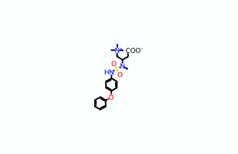 CN(C(CC(=O)[O-])C[N+](C)(C)C)S(=O)(=O)Nc1ccc(Oc2ccccc2)cc1